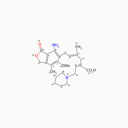 COc1c(C)c2c(c(N)c1C/C=C(\C)CC(CCN1CCCCC1)C(=O)O)C(=O)OC2